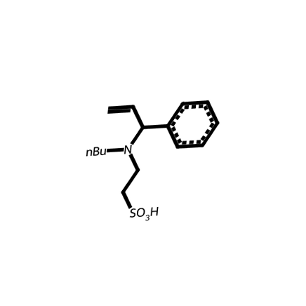 C=CC(c1ccccc1)N(CCCC)CCS(=O)(=O)O